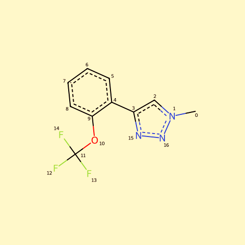 Cn1cc(-c2cc[c]cc2OC(F)(F)F)nn1